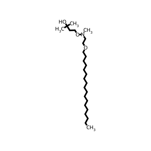 CCCCCCCCCCCCCCCCCCOCCN(C)OCCC(C)(C)O